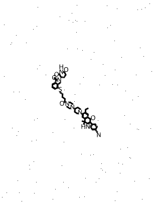 CCc1cc2c(cc1N1CCC(N3CCN(C(=O)CCCCSc4cccc5c4CN(C4CCC(=O)NC4=O)C5=O)CC3)CC1)C(C)(C)c1[nH]c3cc(C#N)ccc3c1C2=O